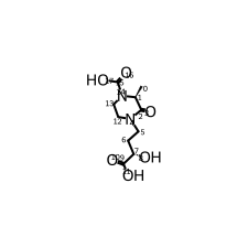 C[C@H]1C(=O)N(CC[C@H](O)C(=O)O)CCN1C(=O)O